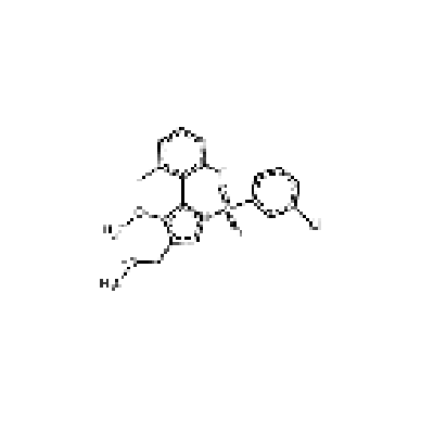 CNCc1cn(S(=O)(=O)c2cccc(Cl)c2)c(-c2c(F)cccc2F)c1OC